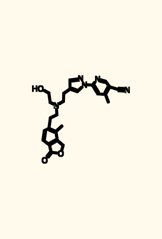 Cc1cc(-n2cc(CCN(CCO)CCc3ccc4c(c3C)COC4=O)cn2)ncc1C#N